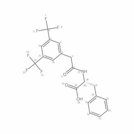 O=C(Cc1cc(C(F)(F)F)cc(C(F)(F)F)c1)N[C@H](Cc1ccccc1)C(=O)O